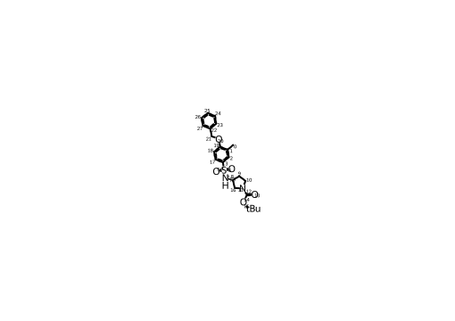 Cc1cc(S(=O)(=O)N[C@H]2CCN(C(=O)OC(C)(C)C)C2)ccc1OCc1ccccc1